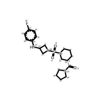 O=C([C@H]1CCCN(S(=O)(=O)N2CC(Nc3ccc(F)cc3)C2)C1)N1CCCC1